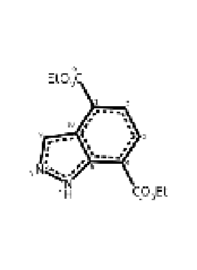 CCOC(=O)c1ccc(C(=O)OCC)c2[nH]ncc12